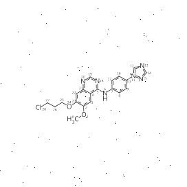 COc1cc2c(Nc3ccc(-n4cncn4)cc3)ncnc2cc1OCCCCl